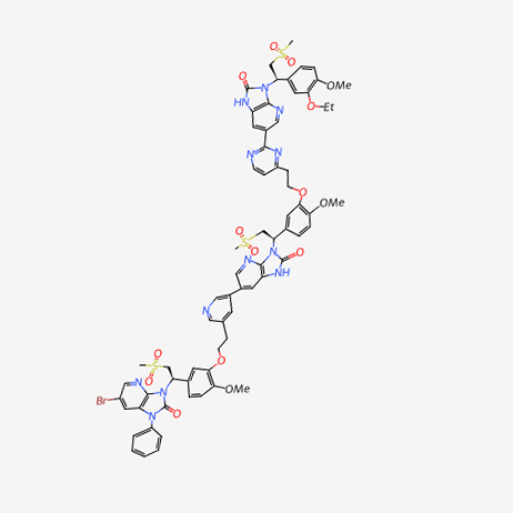 CCOc1cc([C@H](CS(C)(=O)=O)n2c(=O)[nH]c3cc(-c4nccc(CCOc5cc([C@H](CS(C)(=O)=O)n6c(=O)[nH]c7cc(-c8cncc(CCOc9cc([C@H](CS(C)(=O)=O)n%10c(=O)n(-c%11ccccc%11)c%11cc(Br)cnc%11%10)ccc9OC)c8)cnc76)ccc5OC)n4)cnc32)ccc1OC